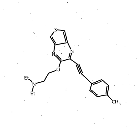 CCN(CC)CCOc1nc2cscc2nc1C#Cc1ccc(C)cc1